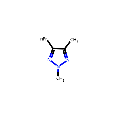 CCCc1nn(C)nc1C